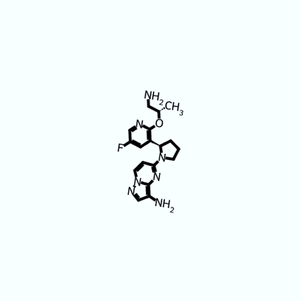 C[C@@H](CN)Oc1ncc(F)cc1[C@H]1CCCN1c1ccn2ncc(N)c2n1